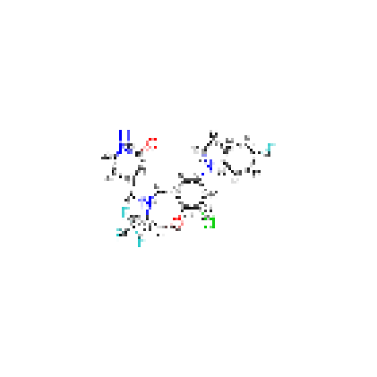 O=c1cc(CN2Cc3cc(-n4ccc5cc(F)ccc54)cc(Cl)c3OCC2C(F)(F)F)cc[nH]1